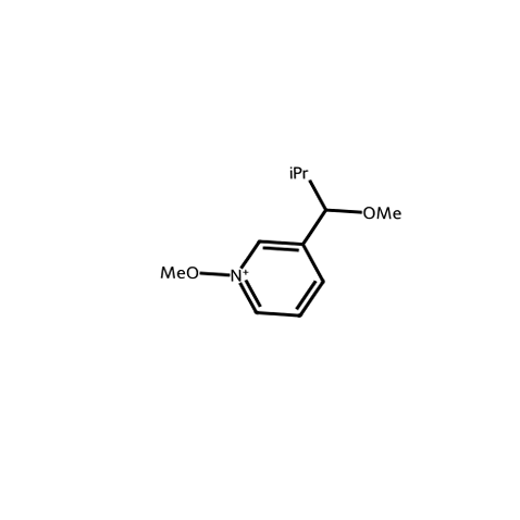 COC(c1ccc[n+](OC)c1)C(C)C